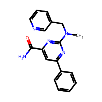 CN(Cc1cccnc1)c1nc(C(N)=O)cc(-c2ccccc2)n1